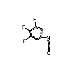 O=C=Nc1cc(F)c(F)c(F)c1